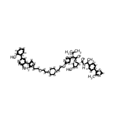 Cc1ncsc1-c1ccc([C@H](C)NC(=O)[C@@H]2C[C@@H](O)CN2C(=O)[C@@H](c2cc(OCCN3CCN(CCOCCn4cc(-c5cc(-c6ccccc6O)nnc5N)cn4)CC3)no2)C(C)C)cc1